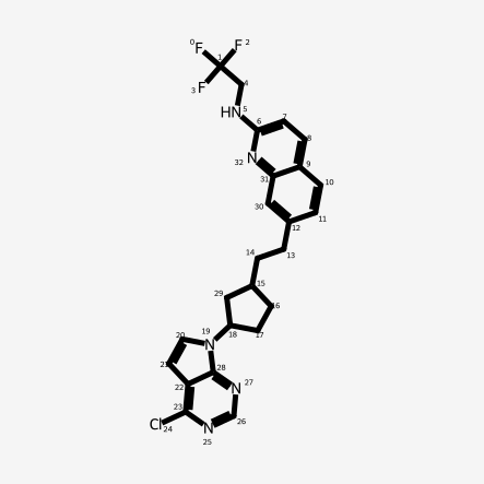 FC(F)(F)CNc1ccc2ccc(CCC3CCC(n4ccc5c(Cl)ncnc54)C3)cc2n1